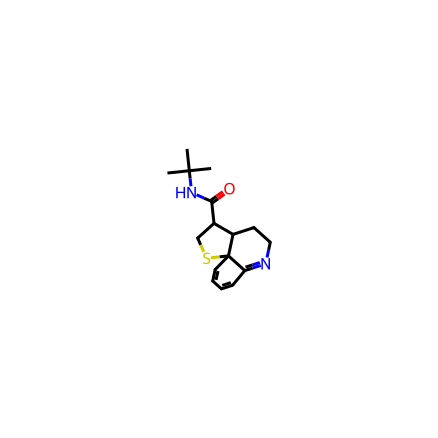 CC(C)(C)NC(=O)C1CSC23C=CC=CC2=NCCC13